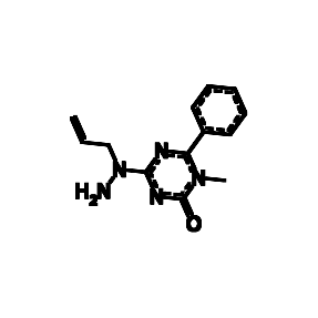 C=CCN(N)c1nc(-c2ccccc2)n(C)c(=O)n1